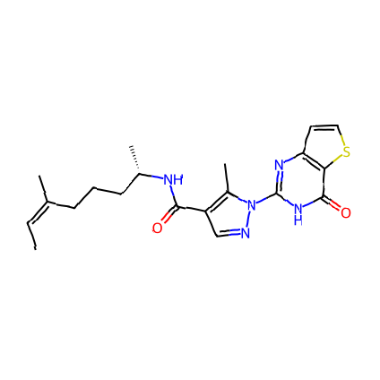 C/C=C(/C)CCC[C@H](C)NC(=O)c1cnn(-c2nc3ccsc3c(=O)[nH]2)c1C